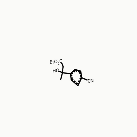 CCOC(=O)CC(C)(O)c1ccc(C#N)cc1